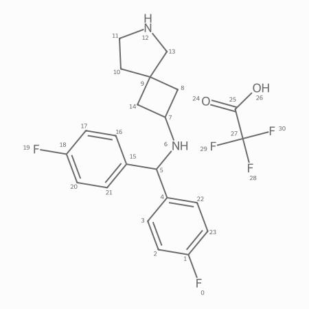 Fc1ccc(C(NC2CC3(CCNC3)C2)c2ccc(F)cc2)cc1.O=C(O)C(F)(F)F